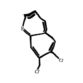 Clc1cc2cc[c]nc2cc1Cl